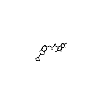 Cc1cn2c(C(=O)NCc3ccc4c(c3)CC(C3CCC3)O4)c(C)nc2s1